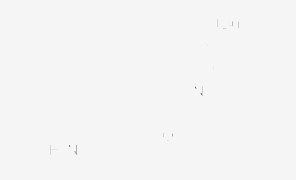 CC(C)(C)OC(=O)N1CCOC(c2cccc(N)c2)C1